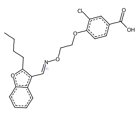 CCCCc1oc2ccccc2c1/C=N/OCCOc1ccc(C(=O)O)cc1Cl